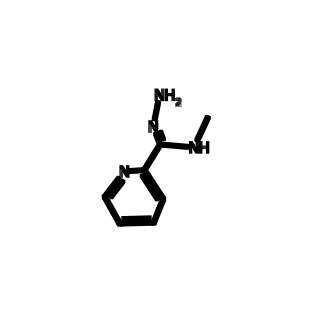 CNC(=NN)c1ccccn1